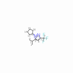 CC(C)c1cc(C(F)(F)F)nn1C1CCCC1